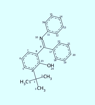 CC(C)(C)c1cccc(C(=Nc2ccccc2)c2ccccc2)c1O